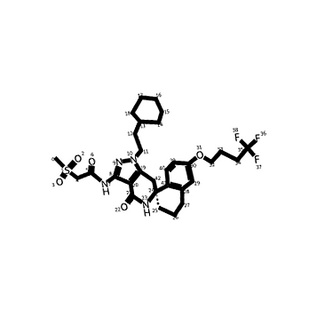 CS(=O)(=O)CC(=O)Nc1nn(CCC2CCCCC2)c2c1C(=O)N[C@@]1(CCCc3cc(OCCCC(F)(F)F)ccc31)C2